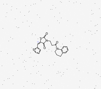 O=C1S/C(=C/c2cccs2)C(=O)N1CCC(=O)N1CCCc2ccccc21